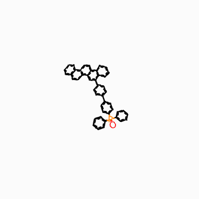 O=P(c1ccccc1)(c1ccccc1)c1ccc(-c2ccc(-c3cc4c(ccc5c6ccccc6ccc54)c4ccccc34)cc2)cc1